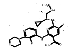 C[C@H](NC(=O)O)[C@H](Nc1nc(Nc2ccnc(N3CCOCC3)c2F)c(C(N)=O)cc1F)C1CC1